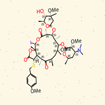 COc1ccc(CSC2C(=O)O[C@@]3(C)[C@H]2[C@@H](C)C(=O)[C@H](C)C[C@@](C)(OC)[C@H](O[C@@H]2O[C@H](C)C[C@H](N(C)C)[C@H]2OC)[C@@H](C)[C@H](O[C@H]2C[C@@](C)(OC)[C@@H](O)[C@H](C)O2)[C@@H](C)C(=O)O[C@@H]3I)cc1